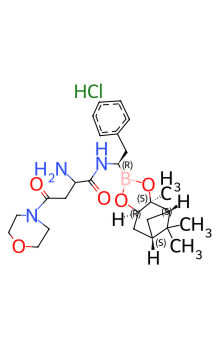 CC1(C)[C@@H]2C[C@H]3OB([C@H](Cc4ccccc4)NC(=O)C(N)CC(=O)N4CCOCC4)O[C@@]3(C)[C@H]1C2.Cl